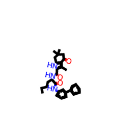 CCCCC(NC(=O)c1[nH]c2c(c1C)C(=O)CC(C)(C)C2)C(=O)Nc1cccc(-c2ccccc2)c1